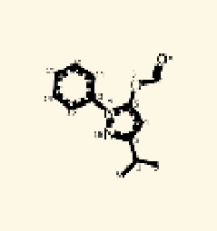 CC(C)c1cc(OC=O)n(-c2ccccc2)n1